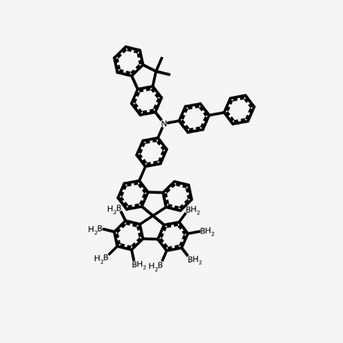 Bc1c(B)c(B)c2c(c1B)-c1c(B)c(B)c(B)c(B)c1C21c2ccccc2-c2c(-c3ccc(N(c4ccc(-c5ccccc5)cc4)c4ccc5c(c4)C(C)(C)c4ccccc4-5)cc3)cccc21